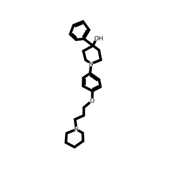 OC1(c2ccccc2)CCN(c2ccc(OCCCN3CCCCC3)cc2)CC1